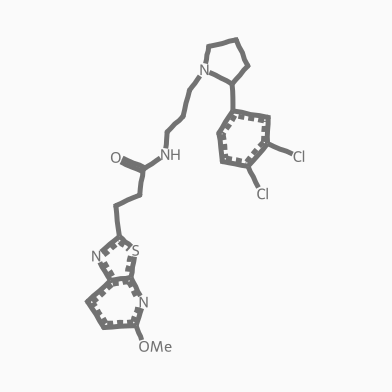 COc1ccc2nc(CCC(=O)NCCCN3CCCC3c3ccc(Cl)c(Cl)c3)sc2n1